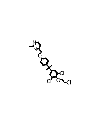 Cc1nccc(COc2ccc(C(C)(C)c3cc(Cl)c(OCCCl)c(Cl)c3)cc2)n1